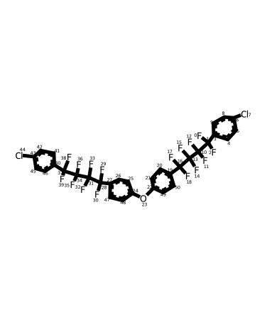 FC(F)(c1ccc(Cl)cc1)C(F)(F)C(F)(F)C(F)(F)c1ccc(Oc2ccc(C(F)(F)C(F)(F)C(F)(F)C(F)(F)c3ccc(Cl)cc3)cc2)cc1